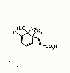 CC1(C=CC(=O)O)C=CC=C(Cl)C1(C)N